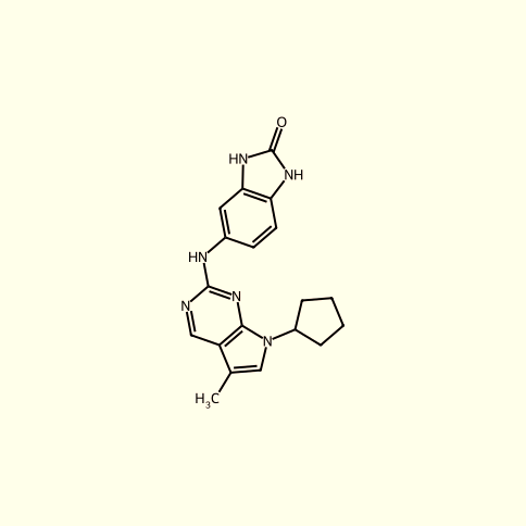 Cc1cn(C2CCCC2)c2nc(Nc3ccc4[nH]c(=O)[nH]c4c3)ncc12